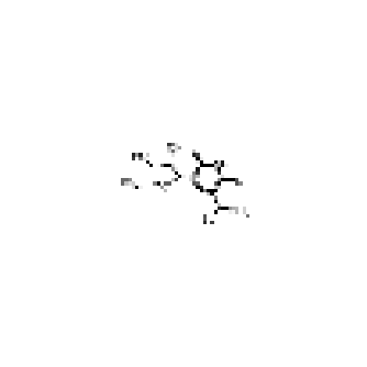 CCC(N)c1cn([C@@H]2O[C@H](CO)[C@@H](O)[C@H]2O)c(=O)[nH]c1=O